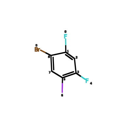 Fc1cc(F)c(I)cc1Br